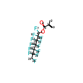 C=C(C)C(=O)OC(F)C(F)(F)C(F)(F)C(F)(F)C(F)(F)C(F)(F)CF